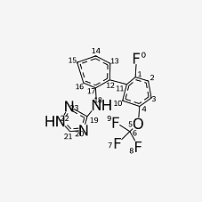 Fc1ccc(OC(F)(F)F)cc1-c1ccccc1Nc1nc[nH]n1